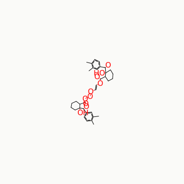 Cc1ccc(C(=O)C2(O)CCCCC2C(=O)O/C=C/OOOC(=O)C2CCCCC2(O)C(=O)c2ccc(C)c(C)c2)cc1C